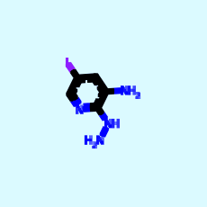 NNc1ncc(I)cc1N